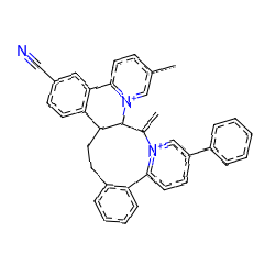 C=C1C2C(CCc3ccccc3-c3ccc(-c4ccccc4)c[n+]31)c1ccc(C#N)cc1-c1ccc(C)c[n+]12